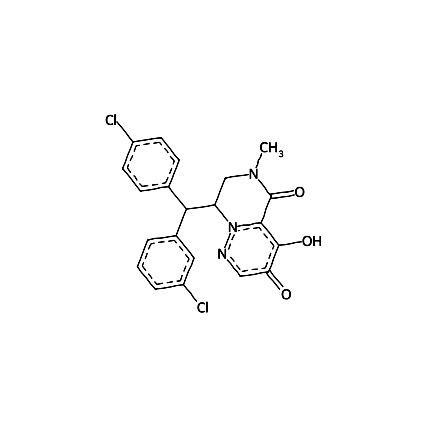 CN1CC(C(c2ccc(Cl)cc2)c2cccc(Cl)c2)n2ncc(=O)c(O)c2C1=O